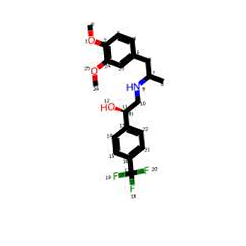 COc1ccc(CC(C)NC[C@H](O)c2ccc(C(F)(F)F)cc2)cc1OC